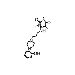 Cc1c(NCCCN2CCN(c3ccccc3O)CC2)n(C)c(=O)n(C)c1=O